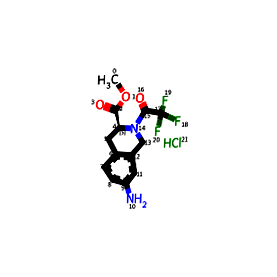 COC(=O)[C@@H]1Cc2ccc(N)cc2CN1C(=O)C(F)(F)F.Cl